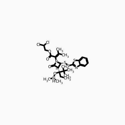 CCC(O[SiH](C)C)([C@@H]1C(=O)N(C(C(=O)OCC(Cl)Cl)=C(C)C)[C@@H]1SSc1nc2ccccc2s1)C(C)(C)C